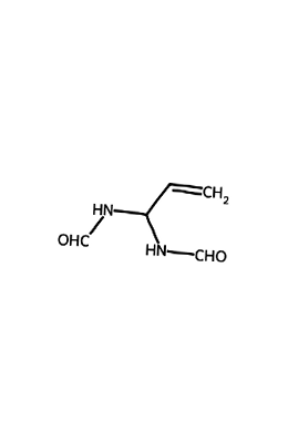 C=CC(NC=O)NC=O